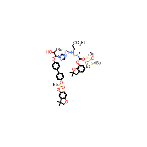 CC(C)(C)C(O)C(Oc1ccc(-c2ccccc2)cc1)n1cncn1.CCOC(=O)CCN(SN(C)C(=O)Oc1cccc2c1OC(C)(C)C2)C(C)C.CCOP(=O)(SC(C)CC)SC(C)CC.CCS(=O)(=O)Oc1ccc2c(c1)C(C)(C)CO2